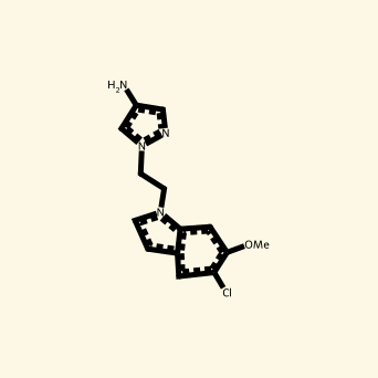 COc1cc2c(ccn2CCn2cc(N)cn2)cc1Cl